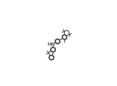 Cc1cc2c(cc1-c1ccc(Nc3ccc4c(c3)C(C)(C)c3ccccc3-4)cc1)C(C)(C)CCC2(C)C